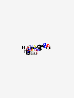 CN(c1nc2sc(-c3ccc(-c4cnn(C5CCCCO5)c4)c4ccn(C(=O)OC(C)(C)C)c34)nc2s1)[C@@H]1C[C@H]2CC[C@@H](C1)N2C(=O)OC(C)(C)C